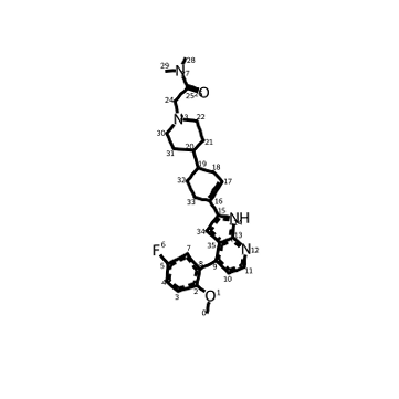 COc1ccc(F)cc1-c1ccnc2[nH]c(C3=CCC(C4CCN(CC(=O)N(C)C)CC4)CC3)cc12